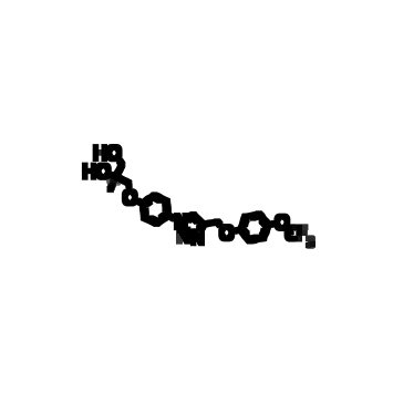 C[C@@](O)(CO)COc1ccc(-n2cc(COc3ccc(OC(F)(F)F)cc3)nn2)cc1